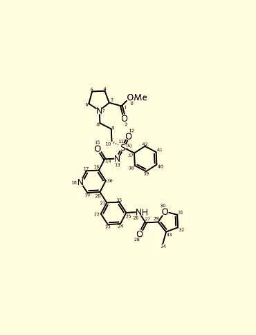 COC(=O)C1CCCN1CCC[S@@](=O)(=NC(=O)c1cncc(-c2cccc(NC(=O)c3occc3C)c2)c1)C1C=CC=CC1